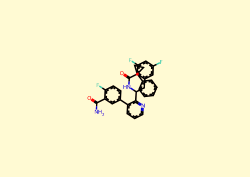 NC(=O)c1cc(-c2cccnc2C(Cc2cc(F)cc(F)c2)NC(=O)C2(c3ccccc3)CC2)ccc1F